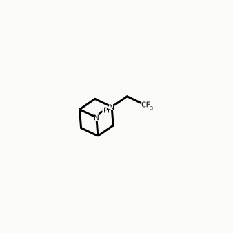 CC(C)N1C2CC1CN(CC(F)(F)F)C2